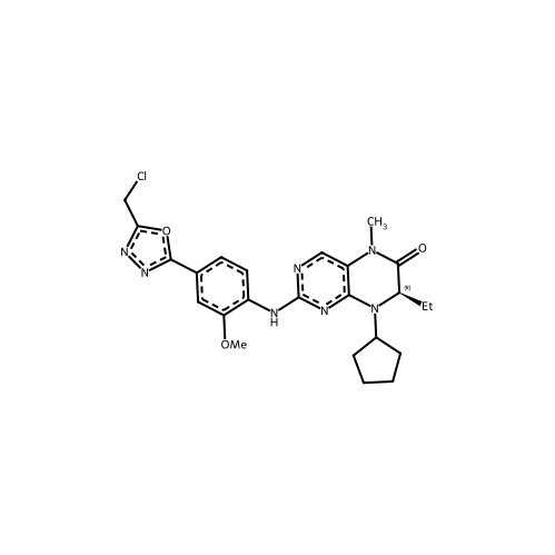 CC[C@@H]1C(=O)N(C)c2cnc(Nc3ccc(-c4nnc(CCl)o4)cc3OC)nc2N1C1CCCC1